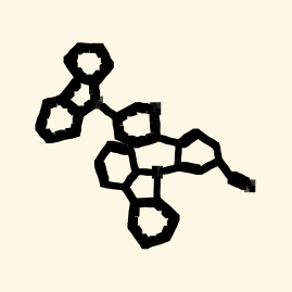 N#CC1C=C(N2c3ccccc3C3C=CC=CC32)C(c2ccc(-n3c4ccccc4c4ccccc43)cn2)=CC1